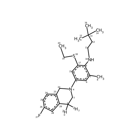 [2H]C1([2H])CN(c2cc(C)c(NCCC(C)(C)C)c(SCC)c2)Cc2ccc(F)cc21